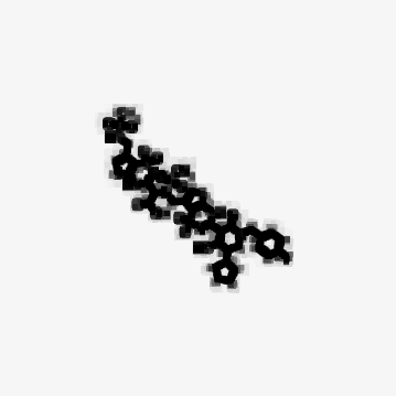 CS(=O)(=O)NCc1csc2c1S(=O)(=O)N=C(C(C(=O)O)N(Cc1csc3c1S(=O)(=O)N=C(C1=C(O)C(C4CCCC4)CN(Cc4ccc(F)cc4)C1=O)N3)S(C)(=O)=O)N2